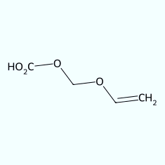 C=COCOC(=O)O